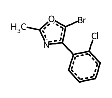 Cc1nc(-c2ccccc2Cl)c(Br)o1